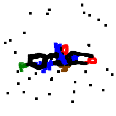 Nc1nc2c(s1)C1COCC(C2)N1c1nc(-c2ccc(F)cc2)no1